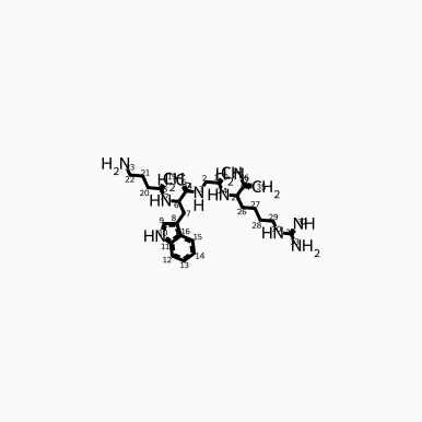 C=C(CNC(=C)C(Cc1c[nH]c2ccccc12)NC(=C)CCCN)NC(CCCCNC(=N)N)C(=C)N